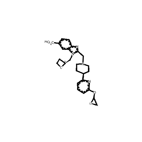 O=C(O)c1ccc2nc(CN3CCC(c4cccc(OC5CO5)n4)CC3)n(C[C@@H]3CCO3)c2c1